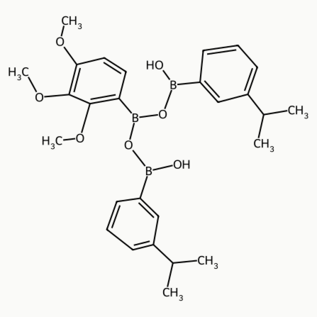 COc1ccc(B(OB(O)c2cccc(C(C)C)c2)OB(O)c2cccc(C(C)C)c2)c(OC)c1OC